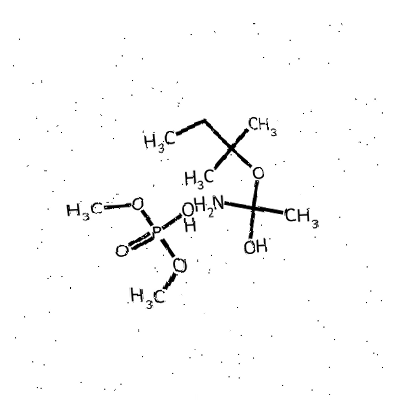 CCC(C)(C)OC(C)(N)O.COP(=O)(O)OC